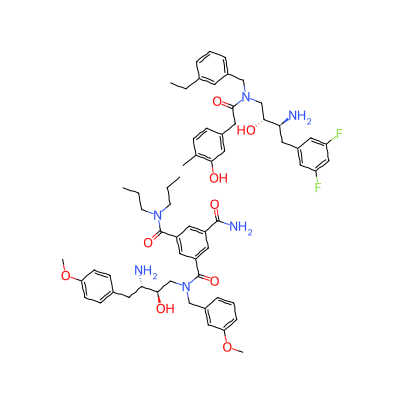 CCCN(CCC)C(=O)c1cc(C(N)=O)cc(C(=O)N(Cc2cccc(OC)c2)C[C@@H](O)[C@@H](N)Cc2ccc(OC)cc2)c1.CCc1cccc(CN(C[C@@H](O)[C@@H](N)Cc2cc(F)cc(F)c2)C(=O)Cc2ccc(C)c(O)c2)c1